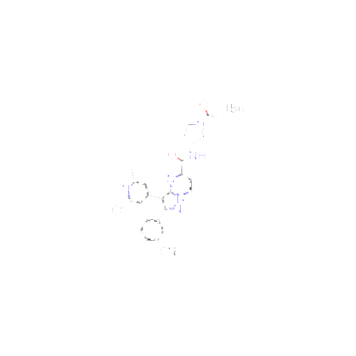 Cc1cc(-c2c(-c3cccc(C#N)c3)nn3ccc(C(=O)N[C@@H]4CCN(C(=O)OC(C)(C)C)C4)nc23)cc(Cl)n1